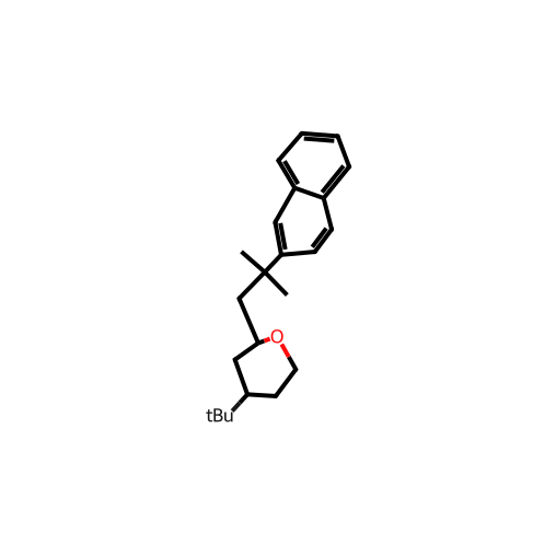 CC(C)(CC1CC(C(C)(C)C)CCO1)c1ccc2ccccc2c1